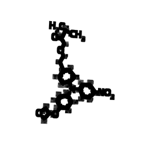 C=C(C)C(=O)COCCc1ccc(N(c2ccc(OC3COC3)cc2)c2ccc([N+](=O)[O-])cc2)cc1